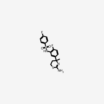 CC1(c2ccc(F)c(NS(=O)(=O)c3ccc(F)cc3)c2)CCSC(N)=N1